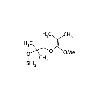 COC(OCC(C)(C)O[SiH3])=C(C)C